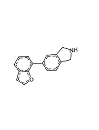 c1cc(-c2ccc3c(c2)CNC3)c2occc2c1